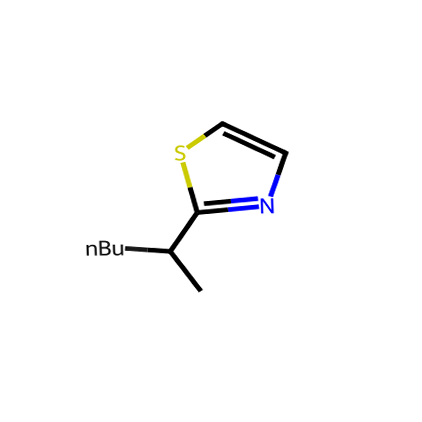 [CH2]CCCC(C)c1nccs1